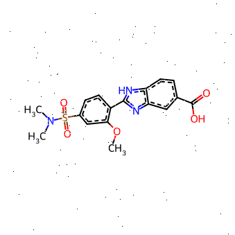 COc1cc(S(=O)(=O)N(C)C)ccc1-c1nc2cc(C(=O)O)ccc2[nH]1